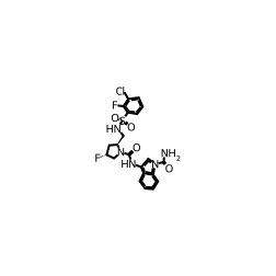 NC(=O)n1cc(NC(=O)N2C[C@H](F)C[C@H]2CNS(=O)(=O)c2cccc(Cl)c2F)c2ccccc21